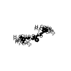 CC(C)(C)c1cc(CCC(=O)OCCn2c3c(n(CCOC(=O)CCc4cc(C(C)(C)C)c(O)c(C(C)(C)C)c4)c2=O)CCCC3)cc(C(C)(C)C)c1O